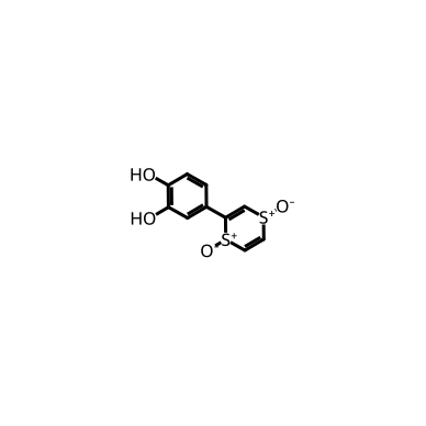 [O-][S+]1C=C[S+]([O-])C(c2ccc(O)c(O)c2)=C1